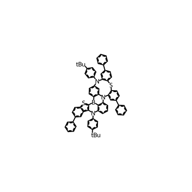 CC(C)(C)c1ccc(N2c3ccc4c(c3)N(c3cc(-c5ccccc5)ccc3Sc3ccc(-c5ccccc5)cc32)c2cccc3c2B4c2sc4ccc(-c5ccccc5)cc4c2N3c2ccc(C(C)(C)C)cc2)cc1